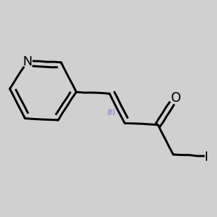 O=C(/C=C/c1cccnc1)CI